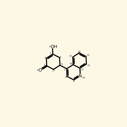 O=C1C=C(O)CC(c2ccnc3ccccc23)C1